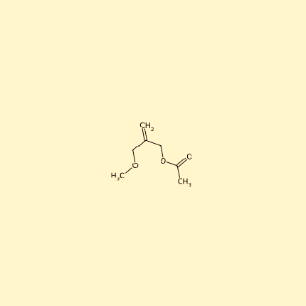 C=C(COC)COC(C)=O